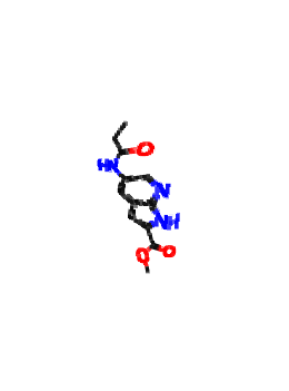 CCC(=O)Nc1cnc2[nH]c(C(=O)OC)cc2c1